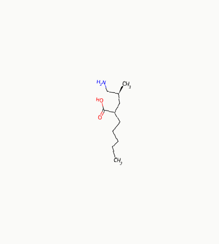 CCCCCC(C[C@H](C)CN)C(=O)O